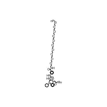 CCCOCCOCCOCCOCCOCCOCCOCCOCCOCCOCCNC(=O)c1cccc(NC(=O)N[C@@H]2CN(C3CCCCC3)c3ccccc3N(CC(=O)C(C)(C)C)C2=O)c1